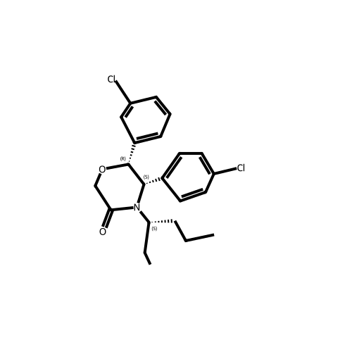 CCC[C@H](CC)N1C(=O)CO[C@H](c2cccc(Cl)c2)[C@@H]1c1ccc(Cl)cc1